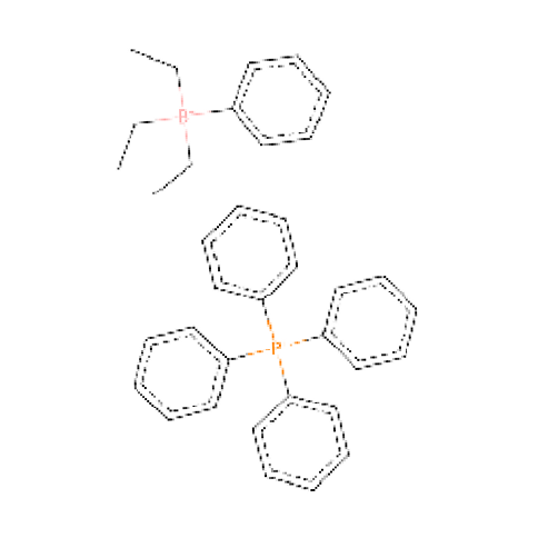 CC[B-](CC)(CC)c1ccccc1.c1ccc([P+](c2ccccc2)(c2ccccc2)c2ccccc2)cc1